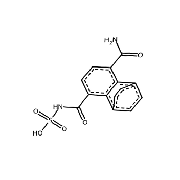 NC(=O)c1ccc(C(=O)NS(=O)(=O)O)c2c3ccc(cc3)c12